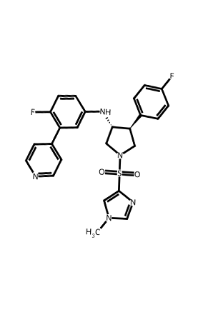 Cn1cnc(S(=O)(=O)N2C[C@H](Nc3ccc(F)c(-c4ccncc4)c3)[C@@H](c3ccc(F)cc3)C2)c1